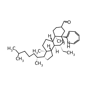 CC[C@H]1C[C@@]2(C3=CC=CC=CN3)CC(C=O)CC[C@]2(C)[C@H]2CC[C@]3(C)[C@@H]([C@H](C)CCCC(C)C)CC[C@H]3[C@H]12